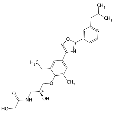 CCc1cc(-c2noc(-c3ccnc(CC(C)C)c3)n2)cc(C)c1OC[C@@H](O)CNC(=O)CO